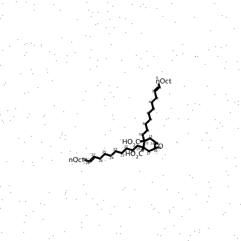 CCCCCCCCC=CCCCCCCCCC1(C(=O)O)CC2OC2CC1(CCCCCCCCC=CCCCCCCCC)C(=O)O